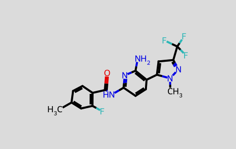 Cc1ccc(C(=O)Nc2ccc(-c3cc(C(F)(F)F)nn3C)c(N)n2)c(F)c1